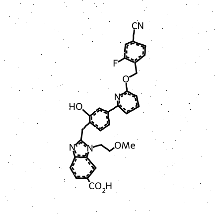 COCCn1c(Cc2ccc(-c3cccc(OCc4ccc(C#N)cc4F)n3)cc2O)nc2ccc(C(=O)O)cc21